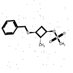 C[C@@H]1[C@@H](OCc2ccccc2)C[C@H]1OS(C)(=O)=O